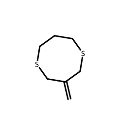 C=C1CSCCCSC1